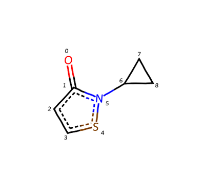 O=c1ccsn1C1CC1